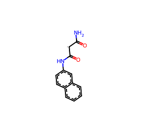 NC(=O)[CH]C(=O)Nc1ccc2ccccc2c1